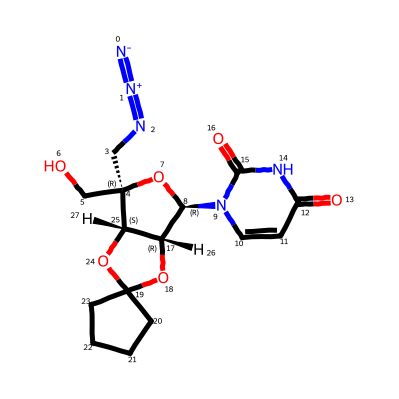 [N-]=[N+]=NC[C@]1(CO)O[C@@H](n2ccc(=O)[nH]c2=O)[C@@H]2OC3(CCCC3)O[C@@H]21